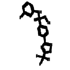 CCOP(=O)(Nc1cccc(F)c1)c1ccc(-c2noc(C(F)(F)Cl)n2)cc1